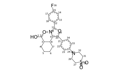 O=C(O)C1CCCCC1c1nc(-c2ccc(F)cc2)oc1-c1ccc(N2CCS(=O)(=O)CC2)cc1